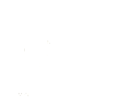 CNCCC[C@H]1Cc2cc(F)ccc2N(c2ccccc2F)S1(=O)=O